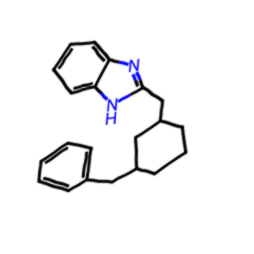 c1ccc(CC2CCCC(Cc3nc4ccccc4[nH]3)C2)cc1